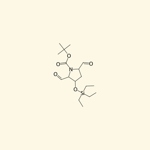 CC[Si](CC)(CC)OC1CC(C=O)N(C(=O)OC(C)(C)C)C1C=O